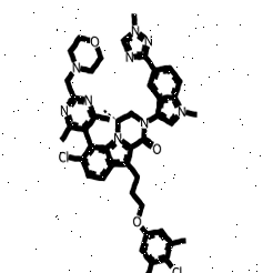 Cc1cc(OCCCc2c3n(c4c(-c5c(C)nc(CN6CCOCC6)nc5C)c(Cl)ccc24)[C@H](C)CN(c2cn(C)c4ccc(-c5ncn(C)n5)cc24)C3=O)cc(C)c1Cl